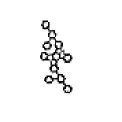 c1ccc(-c2ccc(-c3ccc4c(c3)c3c5c6ccccc6n6c7ccc(-c8ccc(-c9ccccc9)cc8-c8ccccc8)cc7c(c7c8ccccc8n4c73)c56)c(-c3ccccc3)c2)cc1